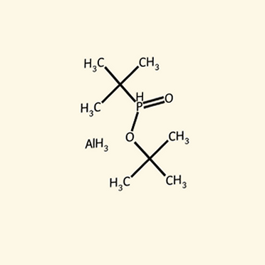 CC(C)(C)O[PH](=O)C(C)(C)C.[AlH3]